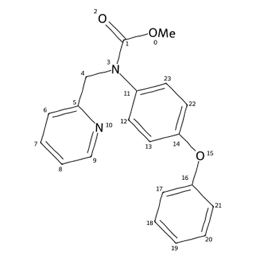 COC(=O)N(Cc1ccccn1)c1ccc(Oc2ccccc2)cc1